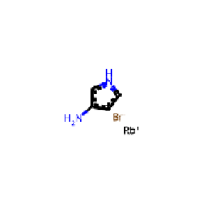 Nc1cc[nH]c1.[Br-].[Rb+]